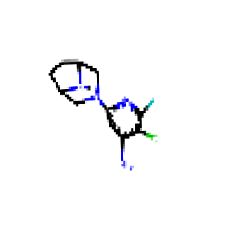 CN1C2CCC1CN(c1cc(N)c(Cl)c(F)n1)C2